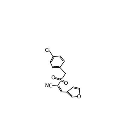 N#C/C(=C/c1ccoc1)S(=O)(=O)Cc1ccc(Cl)cc1